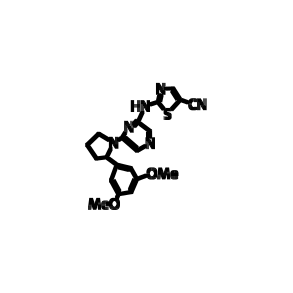 COc1cc(OC)cc(C2CCCN2c2cncc(Nc3ncc(C#N)s3)n2)c1